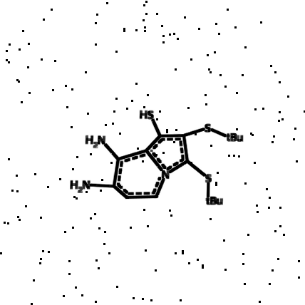 CC(C)(C)Sc1c(S)c2c(N)c(N)ccn2c1SC(C)(C)C